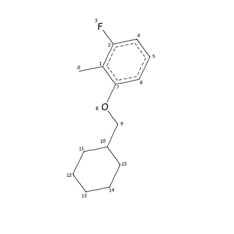 Cc1c(F)cccc1OCC1CCCCC1